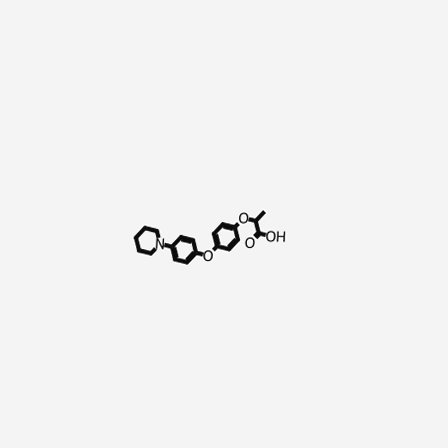 CC(Oc1ccc(Oc2ccc(N3CCCCC3)cc2)cc1)C(=O)O